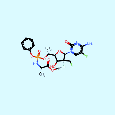 CC(C)OC(=O)[C@H](C)N[P@](=O)(Oc1ccccc1)O[C@H](C)[C@H]1O[C@@H](n2cc(F)c(N)nc2=O)[C@@](Cl)(CF)C1O